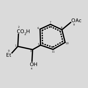 CCC(C(=O)O)C(O)c1ccc(OC(C)=O)cc1